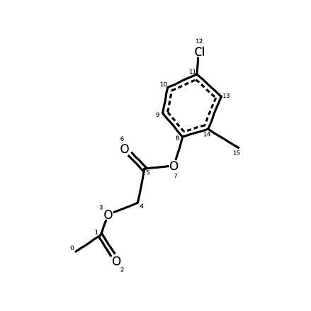 CC(=O)OCC(=O)Oc1ccc(Cl)cc1C